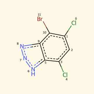 Clc1cc(Cl)c2[nH]nnc2c1Br